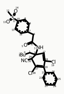 CCC(C)CC1(NC(=O)Cc2ccc(S(C)(=O)=O)cc2)C=C(Cl)C(c2ccccc2)=C(Cl)C1C#N